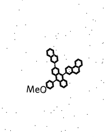 COc1ccc(-c2c3ccccc3c(-c3ccc4c(ccc5ccccc54)c3)c3cc(-c4ccc5ccccc5c4)ccc23)cc1